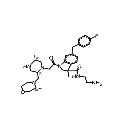 C[C@@H]1CN(CC(=O)N2CC(C)(C(=O)NCCN)c3ccc(Cc4ccc(F)cc4)cc32)[C@@H](CN2CCOC[C@H]2C)CN1